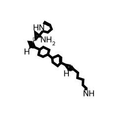 N=CCCCCC1C2C(C3=CCC(C4CCC(C5[C@@H]6CC56[C@@H]5CC5(N)C5CCC=CN5)CC4)CC3)[C@@H]12